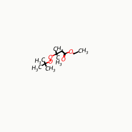 CCOC(=O)CC(C)(C)OOC(C)(C)C